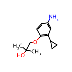 CC(C)(O)COc1ccc(N)cc1C1CC1